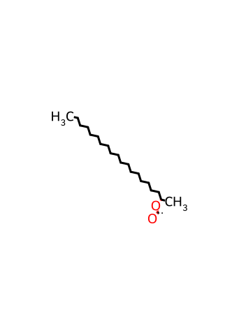 CCCCCCCCCCCCCCCCCCC(C)O[C]=O